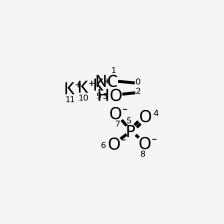 CC#N.CO.O=P([O-])([O-])[O-].[K+].[K+].[K+]